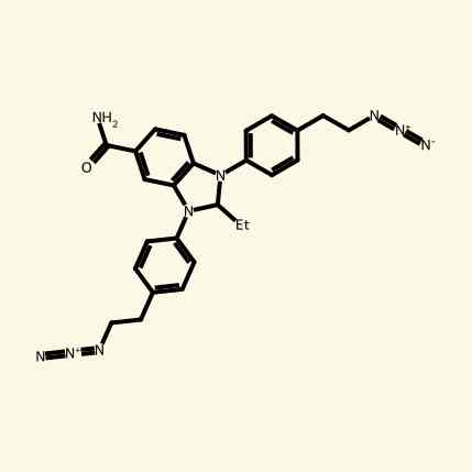 CCC1N(c2ccc(CCN=[N+]=[N-])cc2)c2ccc(C(N)=O)cc2N1c1ccc(CCN=[N+]=[N-])cc1